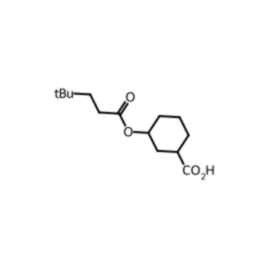 CC(C)(C)CCC(=O)OC1CCCC(C(=O)O)C1